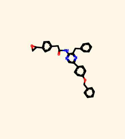 O=C(Cc1ccc(C2CO2)cc1)Nc1ncc(-c2ccc(OCc3ccccc3)cc2)nc1Cc1ccccc1